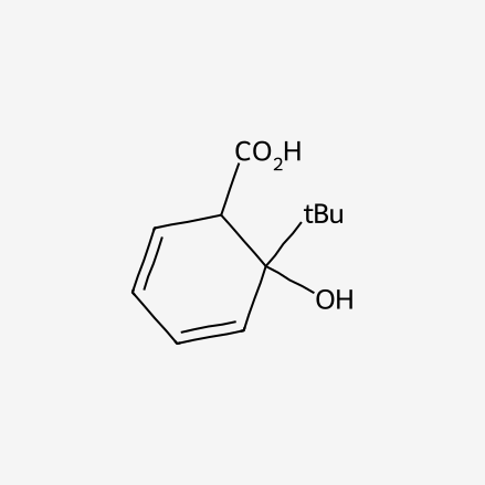 CC(C)(C)C1(O)C=CC=CC1C(=O)O